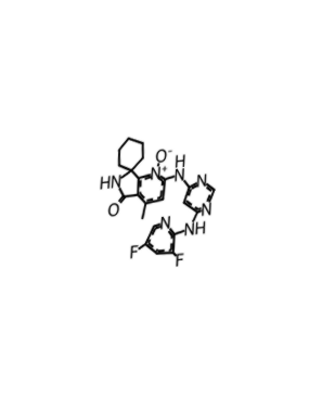 Cc1cc(Nc2cc(Nc3ncc(F)cc3F)ncn2)[n+]([O-])c2c1C(=O)NC21CCCCC1